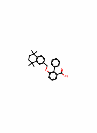 CC1(C)CCC(C)(C)c2cc(COc3cccc(C(=O)O)c3-c3ccccc3)ccc21